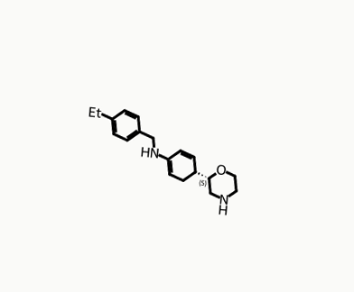 CCc1ccc(CNC2=CCC([C@H]3CNCCO3)C=C2)cc1